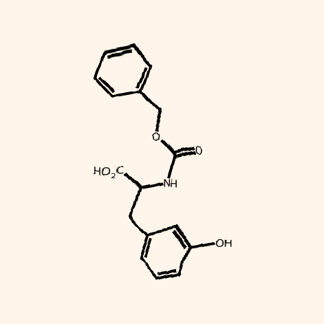 O=C(NC(Cc1cccc(O)c1)C(=O)O)OCc1ccccc1